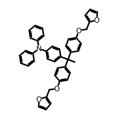 CC(c1ccc(OCc2ccco2)cc1)(c1ccc(OCc2ccco2)cc1)c1ccc(N(c2ccccc2)c2ccccc2)cc1